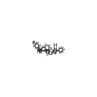 CC(=O)O[C@@]1(CCc2ncc(-c3ccccc3)[nH]2)CCCC2=Cc3c(cnn3-c3ccc(F)cc3)C[C@@]21C